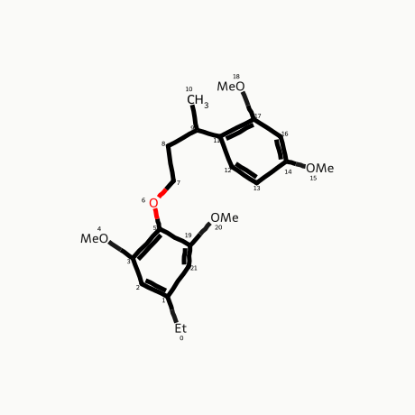 CCc1cc(OC)c(OCCC(C)c2ccc(OC)cc2OC)c(OC)c1